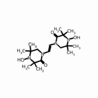 CC1(C)CN([C]=CN2CC(C)(C)N(O)C(C)(C)C2=O)C(=O)C(C)(C)N1O